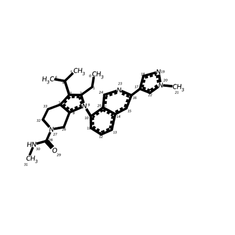 CCc1c(C(C)C)c2c(n1-c1cccc3cc(-c4cnn(C)c4)ncc13)CN(C(=O)NC)CC2